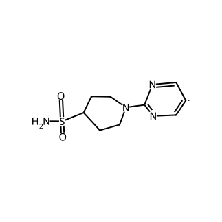 NS(=O)(=O)C1CCN(c2nc[c]cn2)CC1